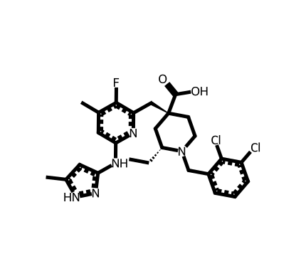 CC[C@@H]1C[C@](Cc2nc(Nc3cc(C)[nH]n3)cc(C)c2F)(C(=O)O)CCN1Cc1cccc(Cl)c1Cl